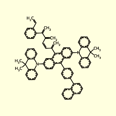 C=Cc1ccccc1C(=C)C(=C)/C=C\C(=C)c1c2cc(N3c4ccccc4C(C)(C)c4ccccc43)ccc2c(-c2ccc(-c3cccc4ccccc34)cc2)c2cc(N3c4ccccc4C(C)(C)c4ccccc43)ccc12